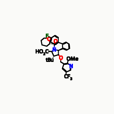 COc1ncc(C(F)(F)F)cc1CO[C@H]1[C@H](C(C)(C)C)[C@@H](C(=O)O)N(C(=O)[C@@H]2CCCCO2)[C@H]1c1ccccc1-c1ccc(F)cc1